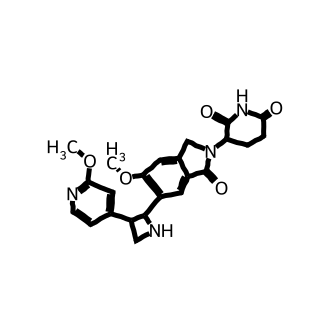 COc1cc(C2CNC2c2cc3c(cc2OC)CN(C2CCC(=O)NC2=O)C3=O)ccn1